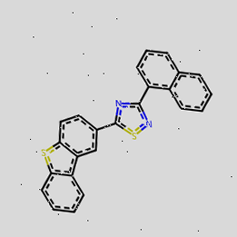 c1ccc2c(-c3nsc(-c4ccc5sc6ccccc6c5c4)n3)cccc2c1